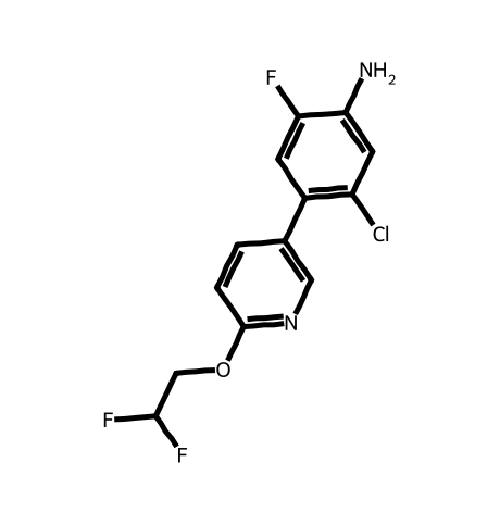 Nc1cc(Cl)c(-c2ccc(OCC(F)F)nc2)cc1F